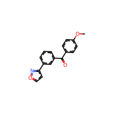 COc1ccc(C(=O)c2cccc(-c3ccon3)c2)cc1